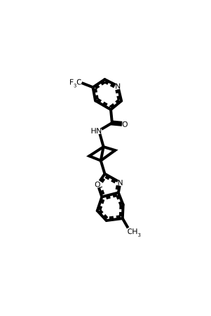 Cc1ccc2oc(C34CC3(NC(=O)c3cncc(C(F)(F)F)c3)C4)nc2c1